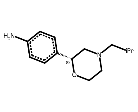 C[C](C)CN1CCO[C@H](c2ccc(N)cc2)C1